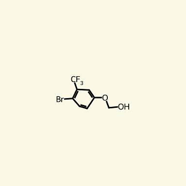 OCOc1ccc(Br)c(C(F)(F)F)c1